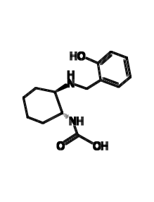 O=C(O)N[C@@H]1CCCC[C@H]1NCc1ccccc1O